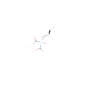 C=CC[N+]([O-])(C(C)O)C(C)O